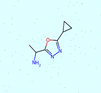 CC(N)c1nnc(C2CC2)o1